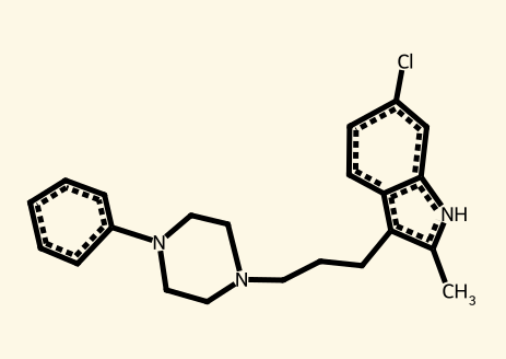 Cc1[nH]c2cc(Cl)ccc2c1CCCN1CCN(c2ccccc2)CC1